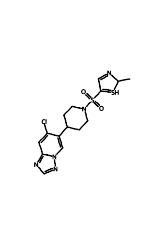 CC1N=CC(S(=O)(=O)N2CCC(c3cn4ncnc4cc3Cl)CC2)=[SH]1